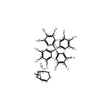 C[NH+]1C2=CCC[C@@H]1CC2.Fc1cc([B-](c2cc(F)c(F)c(F)c2)(c2cc(F)c(F)c(F)c2)c2cc(F)c(F)c(F)c2)cc(F)c1F